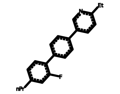 CCCc1ccc(-c2ccc(-c3ccc(CC)nc3)cc2)c(F)c1